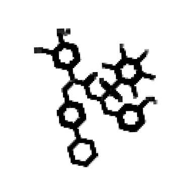 O=C(O)c1ccc(N(Cc2ccc(C3CCCCC3)cc2)C(=O)CN(Cc2cccc([N+](=O)[O-])c2)S(=O)(=O)c2c(F)c(F)c(F)c(F)c2F)cc1O